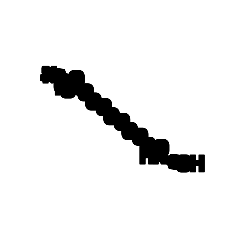 CCN(CC)c1ccc2cc(C(=O)NCCOCCOCCOCCOCCOCCOCCOCCOCCC(=O)NCCc3ccc(O)cc3)c(=O)oc2c1